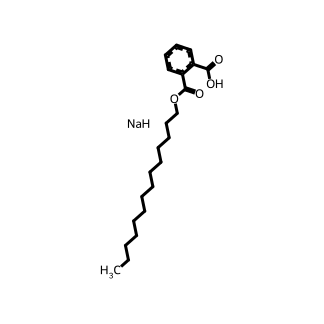 CCCCCCCCCCCCCCOC(=O)c1ccccc1C(=O)O.[NaH]